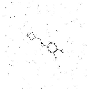 Fc1cc(OCC2C[N]C2)ccc1Cl